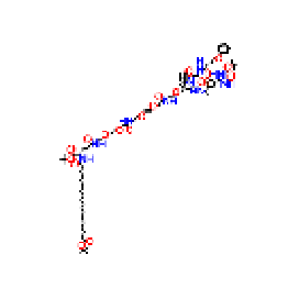 C[C@@H](NC(=O)[C@@H]1C[C@]2(COCCNC(=O)COCCOCCNC(=O)COCCOCCNC(=O)CC[C@H](NC(=O)CCCCCCCCCCCCCCCCC(=O)OC(C)(C)C)C(=O)OC(C)(C)C)C[C@@H]2N1C(=O)CNC(=O)CCCOc1ccccc1)c1cc(C(=N)NC(=O)OC(C)(C)C)cs1